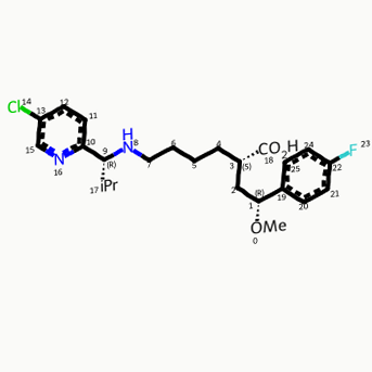 CO[C@H](C[C@H](CCCCN[C@@H](c1ccc(Cl)cn1)C(C)C)C(=O)O)c1ccc(F)cc1